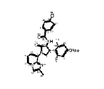 COc1cc(F)c([C@@H]2CN(c3cccn4cc(C)nc34)C(=O)C2NC(=O)c2ccc(Cl)cc2)c(F)c1